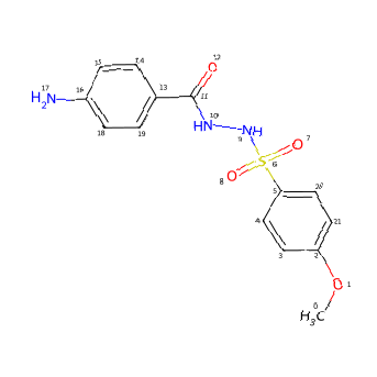 COc1ccc(S(=O)(=O)NNC(=O)c2ccc(N)cc2)cc1